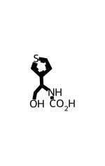 O=C(O)NC(CO)c1ccsc1